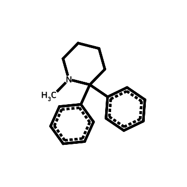 CN1CCCCC1(c1ccccc1)c1ccccc1